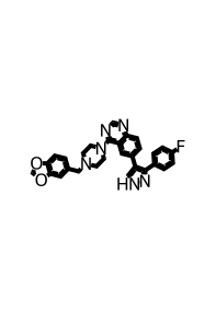 Fc1ccc(-c2n[nH]cc2-c2ccc3ncnc(N4CCN(Cc5ccc6c(c5)OCO6)CC4)c3c2)cc1